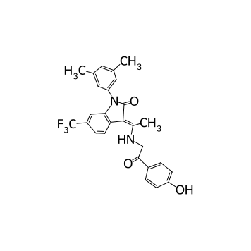 CC(NCC(=O)c1ccc(O)cc1)=C1C(=O)N(c2cc(C)cc(C)c2)c2cc(C(F)(F)F)ccc21